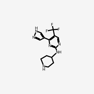 FC(F)(F)c1cnc(NC2CCNCC2)nc1-c1cn[nH]c1